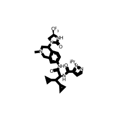 CC(C)n1nccc1C(=O)N[C@H](C(=O)Nc1ccc2c(c1)CN(C)CC2N1C[C@@H](C(F)(F)F)NC1=O)C(C1CC1)C1CC1